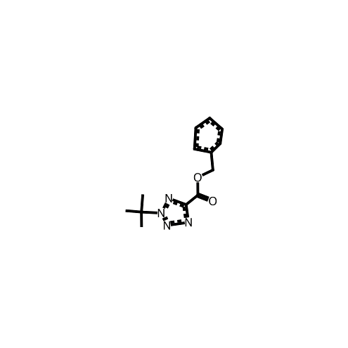 CC(C)(C)n1nnc(C(=O)OCc2ccccc2)n1